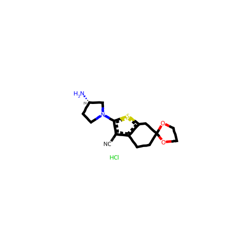 Cl.N#Cc1c(N2CC[C@H](N)C2)sc2c1CCC1(C2)OCCO1